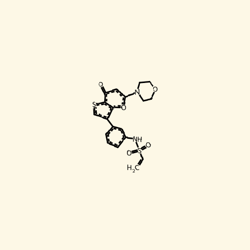 C=CS(=O)(=O)Nc1cccc(-c2csc3c(=O)cc(N4CCOCC4)oc23)c1